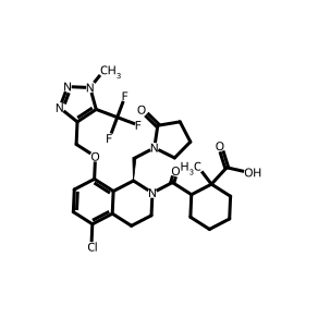 Cn1nnc(COc2ccc(Cl)c3c2[C@@H](CN2CCCC2=O)N(C(=O)C2CCCCC2(C)C(=O)O)CC3)c1C(F)(F)F